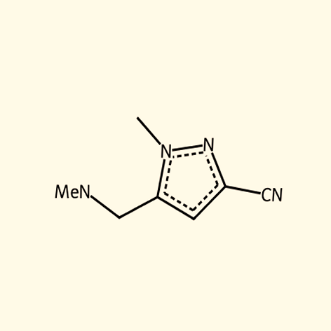 CNCc1cc(C#N)nn1C